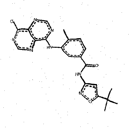 Cc1ccc(C(=O)Nc2cc(C(C)(C)C)on2)cc1Nc1ncnc2c(Cl)ncnc12